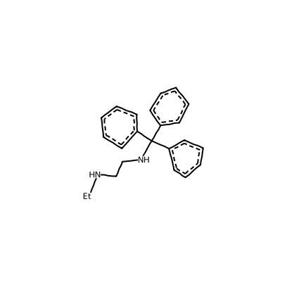 CCNCCNC(c1ccccc1)(c1ccccc1)c1ccccc1